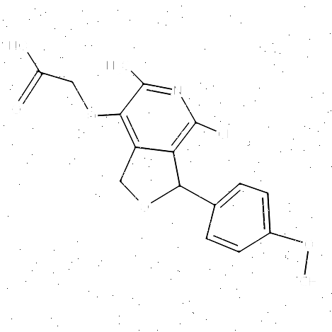 COc1ccc(C2OCc3c(OCC(=O)O)c(C)nc(Cl)c32)cc1